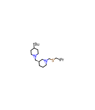 CC(C)CSCN1CCC[C@@H](CN2CCC(C(C)(C)C)CC2)C1